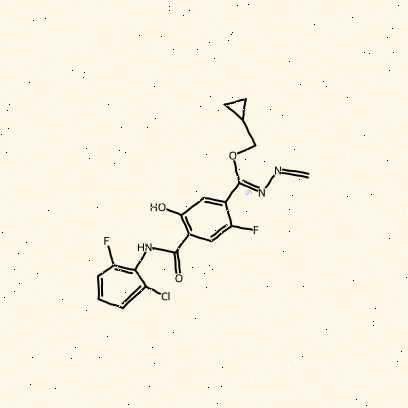 C=N/N=C(\OCC1CC1)c1cc(O)c(C(=O)Nc2c(F)cccc2Cl)cc1F